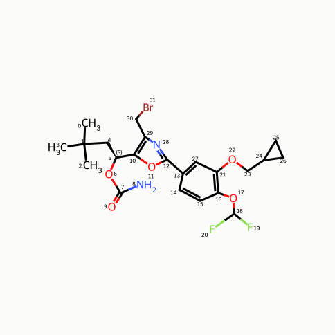 CC(C)(C)C[C@H](OC(N)=O)c1oc(-c2ccc(OC(F)F)c(OCC3CC3)c2)nc1CBr